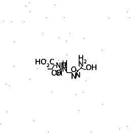 CC(O)C(NC(=O)NCc1nnc(C(N)CO)o1)C(=O)O